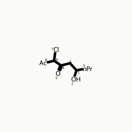 CCCC(O)CC(=O)C(Cl)C(C)=O